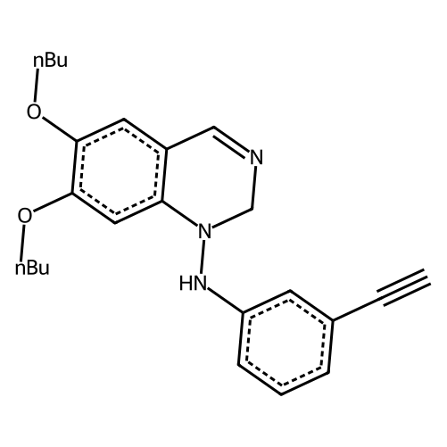 C#Cc1cccc(NN2CN=Cc3cc(OCCCC)c(OCCCC)cc32)c1